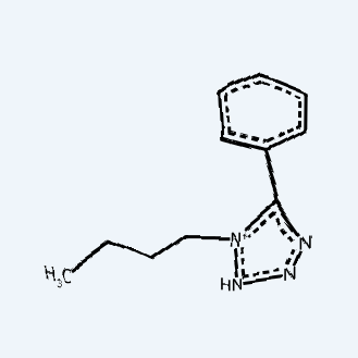 CCCC[n+]1[nH]nnc1-c1ccccc1